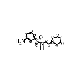 Nc1cccc(S(=O)(=O)NCCN2CCCCC2)c1